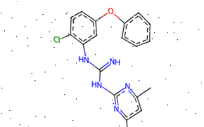 Cc1cc(C)nc(NC(=N)Nc2cc(Oc3ccccc3)ccc2Cl)n1